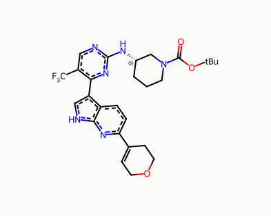 CC(C)(C)OC(=O)N1CCC[C@H](Nc2ncc(C(F)(F)F)c(-c3c[nH]c4nc(C5=CCOCC5)ccc34)n2)C1